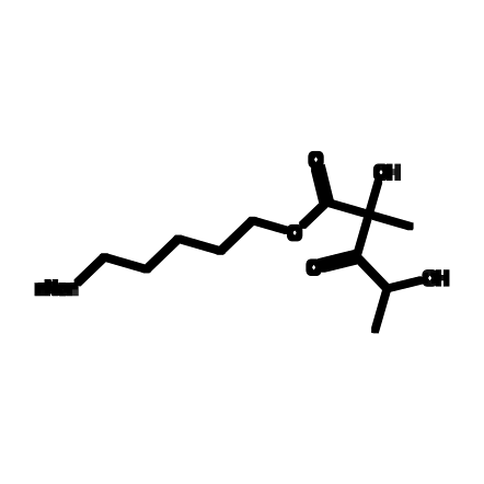 CCCCCCCCCCCCCCOC(=O)C(C)(O)C(=O)C(C)O